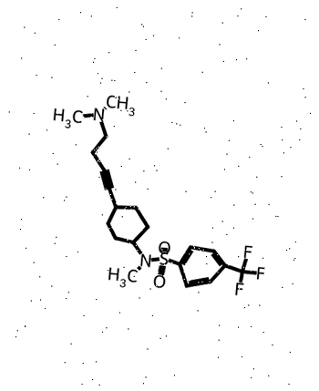 CN(C)CCC#CC1CCC(N(C)S(=O)(=O)c2ccc(C(F)(F)F)cc2)CC1